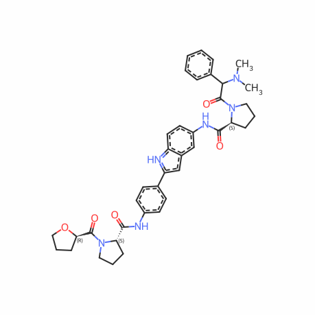 CN(C)C(C(=O)N1CCC[C@H]1C(=O)Nc1ccc2[nH]c(-c3ccc(NC(=O)[C@@H]4CCCN4C(=O)[C@H]4CCCO4)cc3)cc2c1)c1ccccc1